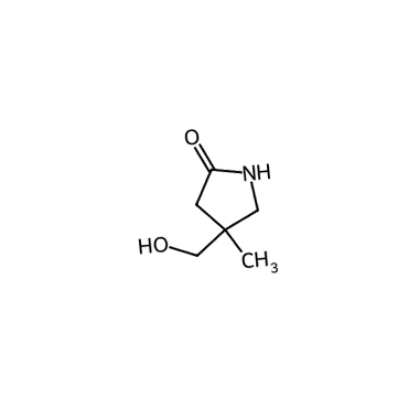 CC1(CO)CNC(=O)C1